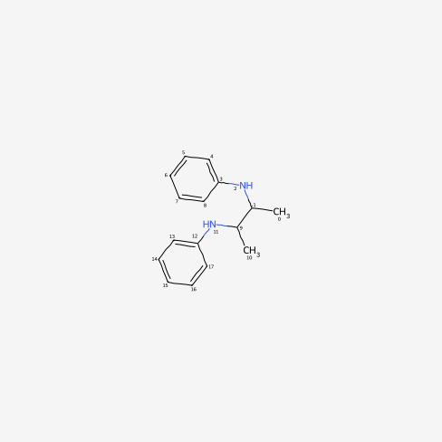 C[C](Nc1ccccc1)C(C)Nc1ccccc1